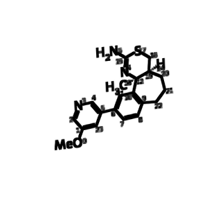 COc1cncc(-c2ccc3c(c2)[C@@]2(C)N=C(N)SC[C@H]2CCC3)c1